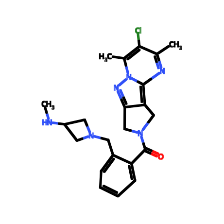 CNC1CN(Cc2ccccc2C(=O)N2Cc3nn4c(C)c(Cl)c(C)nc4c3C2)C1